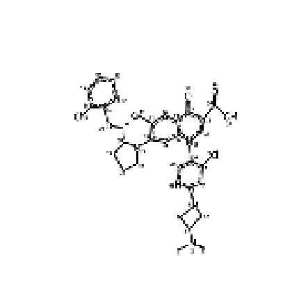 CN(C)C1CN(c2cc(Cl)c(-n3cc(C(=O)O)c(=O)c4cc(Cl)c(N5CCC[C@@H]5COc5ncccc5Cl)cc43)cn2)C1